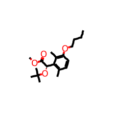 CCCCOc1ccc(C)c([C@H](OC(C)(C)C)C(=O)OC)c1C